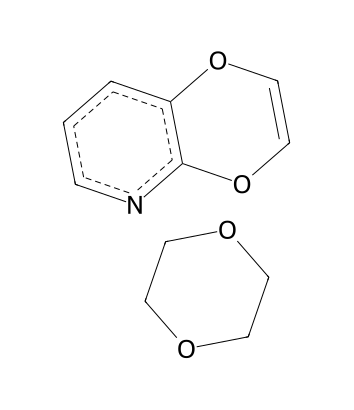 C1=COc2ncccc2O1.C1COCCO1